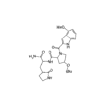 COc1cccc2[nH]c(C(=O)N3CC(OC(C)(C)C)CC3C(=O)NC(CC3CCNC3=O)C(N)=O)cc12